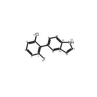 Fc1cccc(Cl)c1-c1ccc2[nH]ccc2c1